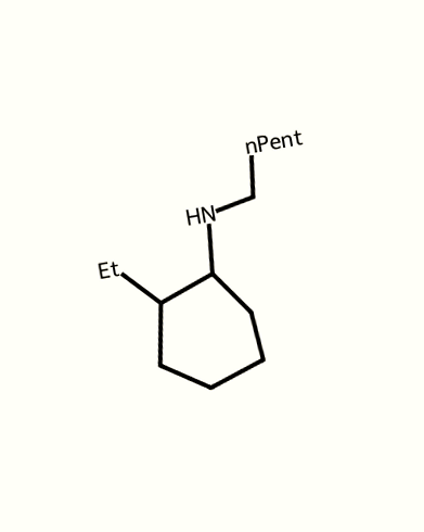 CCCCCCNC1CCCCC1CC